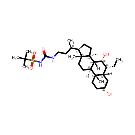 CC[C@H]1[C@@H](O)[C@@H]2[C@H](CC[C@]3(C)[C@@H]([C@H](C)CCNC(=O)NS(=O)(=O)C(C)(C)C)CC[C@@H]23)[C@@]2(C)CC[C@@H](O)C[C@@H]12